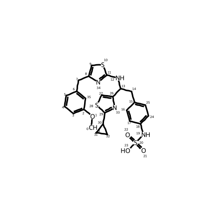 COc1cccc(Cc2csc(NC(Cc3ccc(NS(=O)(=O)O)cc3)c3csc(C4CC4)n3)n2)c1